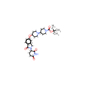 CC(C)(C)OC(=O)N1CCC(N2CCC(Oc3ccc4c(c3)CN(C3CCC(=O)NC3=O)C4=O)CC2)CC1